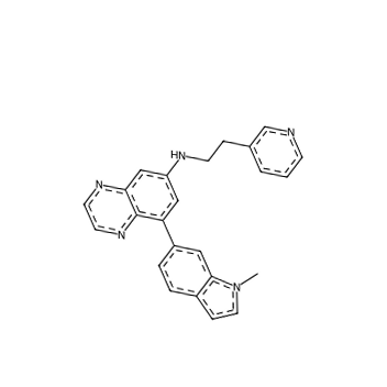 Cn1ccc2ccc(-c3cc(NCCc4cccnc4)cc4nccnc34)cc21